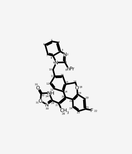 CCCc1nc2ccccc2n1Cc1ccc2c(c1)COc1cc(F)ccc1/C2=C(\C)c1noc(=O)[nH]1